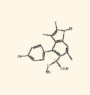 CCn1c(C)c(C)c2c(-c3ccc(Cl)cc3)c([C@H](OC(C)(C)C)C(=O)O)c(C)nc21